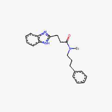 CCN(CCCc1ccccc1)C(=O)CCc1nc2ccccc2[nH]1